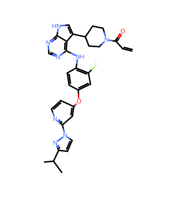 C=CC(=O)N1CCC(c2c[nH]c3ncnc(Nc4ccc(Oc5ccnc(-n6ccc(C(C)C)n6)c5)cc4F)c23)CC1